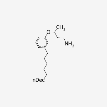 CCCCCCCCCCCCCCCc1cccc(OC(C)CCN)c1